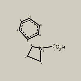 O=C(O)N1CCC1.c1ccccc1